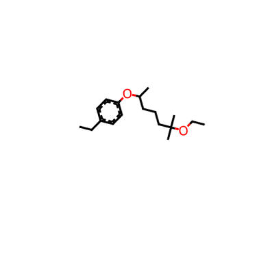 CCOC(C)(C)CCCC(C)Oc1ccc(CC)cc1